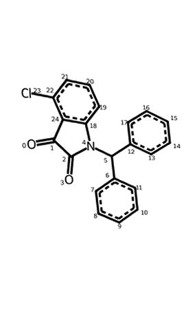 O=C1C(=O)N(C(c2ccccc2)c2ccccc2)c2cccc(Cl)c21